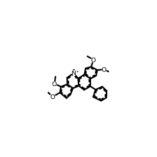 COc1cc2c(-c3ccccc3)cc3c4ccc(OC)c(OC)c4c[n+](C)c3c2cc1OC